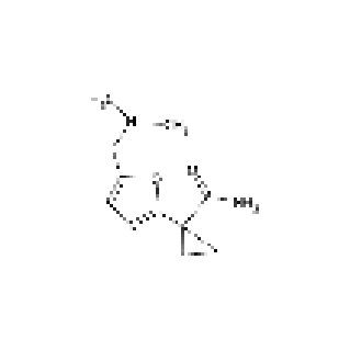 CN(C)Cc1cnc(C2(C(N)=O)CC2)o1